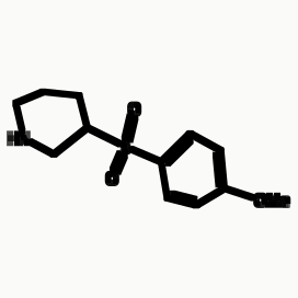 COc1ccc(S(=O)(=O)C2CCCNC2)cc1